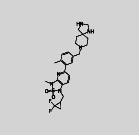 Cc1ccc(CN2CCC3(CC2)CNCN3)cc1-c1ccc2c(n1)N(C)S(=O)(=O)N2CC1CC1(F)F